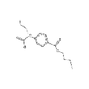 CCCCOC(=O)c1ccc([C@@H](CCC)C(=O)Cl)cc1